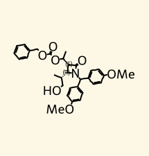 COc1ccc(C(c2ccc(OC)cc2)N2C(=O)[C@H](C(C)OC(=O)OCc3ccccc3)[C@H]2C(C)CO)cc1